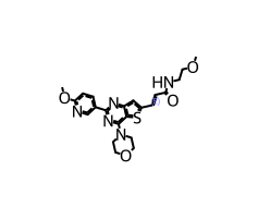 COCCNC(=O)/C=C/c1cc2nc(-c3ccc(OC)nc3)nc(N3CCOCC3)c2s1